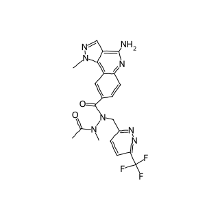 CC(=O)N(C)N(Cc1ccc(C(F)(F)F)nn1)C(=O)c1ccc2nc(N)c3cnn(C)c3c2c1